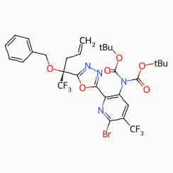 C=CC[C@@](OCc1ccccc1)(c1nnc(-c2nc(Br)c(C(F)(F)F)cc2N(C(=O)OC(C)(C)C)C(=O)OC(C)(C)C)o1)C(F)(F)F